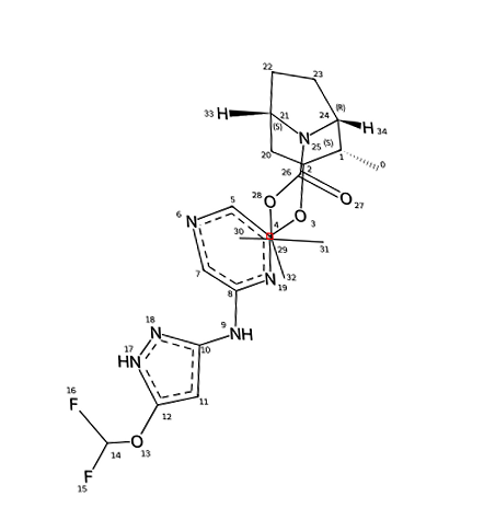 C[C@@H]1C(Oc2cncc(Nc3cc(OC(F)F)[nH]n3)n2)C[C@@H]2CC[C@H]1N2C(=O)OC(C)(C)C